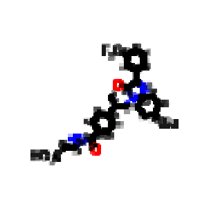 CC(CN1C(=O)C(c2cccc(C(F)(F)F)c2)=NC12CCC(C(C)(C)C)CC2)c1ccc(C(=O)NCCC(=O)O)cc1